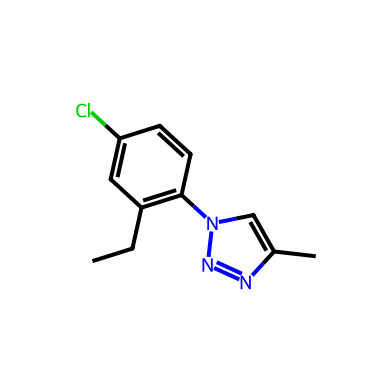 CCc1cc(Cl)ccc1-n1cc(C)nn1